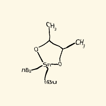 CCC[CH2][Sn]1([CH2]CCC)[O]C(C)C(C)[O]1